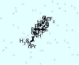 CCCN(C)CCNS(=O)(=O)C(F)(F)C(F)(F)C(F)(F)S(=O)(=O)NS(=O)(=O)C(F)(F)F